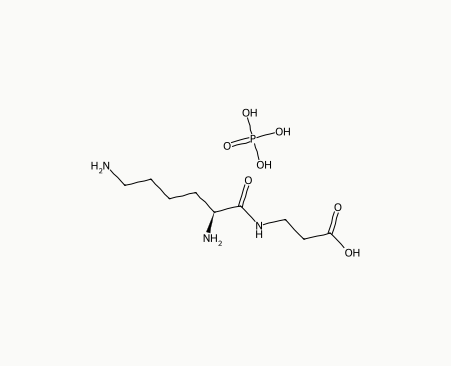 NCCCC[C@H](N)C(=O)NCCC(=O)O.O=P(O)(O)O